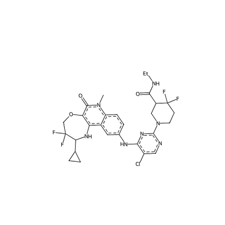 CCNC(=O)C1CN(c2ncc(Cl)c(Nc3ccc4c(c3)c3c(c(=O)n4C)OCC(F)(F)C(C4CC4)N3)n2)CCC1(F)F